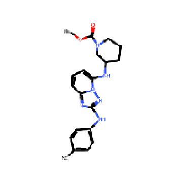 CC(C)(C)OC(=O)N1CCCC(Nc2cccc3nc(Nc4ccc(C#N)cc4)nn23)C1